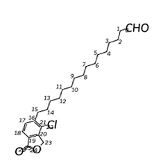 O=CCCCCCCCCCCCCCCCc1ccc2c(c1Cl)COC2=O